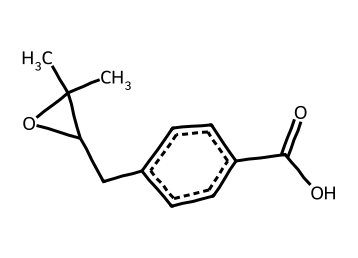 CC1(C)OC1Cc1ccc(C(=O)O)cc1